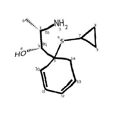 C[C@H](N)[C@@H](O)C1(SC2CC2)C=CC=CC1